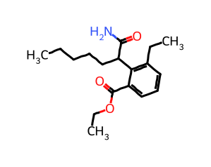 CCCCCC(C(N)=O)c1c(CC)cccc1C(=O)OCC